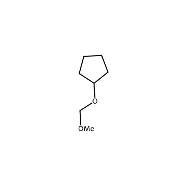 COCOC1CCCC1